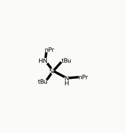 CCCN[Si](NCCC)(C(C)(C)C)C(C)(C)C